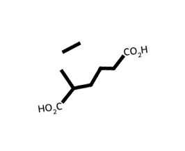 CC.CC(CCCC(=O)O)C(=O)O